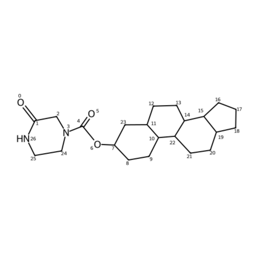 O=C1CN(C(=O)OC2CCC3C(CCC4C5CCCC5CCC34)C2)CCN1